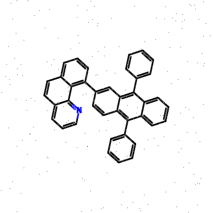 c1ccc(-c2c3ccccc3c(-c3ccccc3)c3cc(-c4cccc5ccc6cccnc6c45)ccc23)cc1